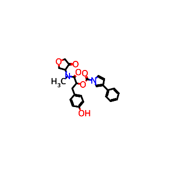 CN(C(=O)C(Cc1ccc(O)cc1)OC(=O)n1ccc(-c2ccccc2)c1)C1COCC1=O